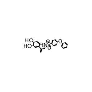 C=C(CNS(=O)(=O)c1ccc(Oc2ccccc2)cc1)c1ccc(O)c(O)c1